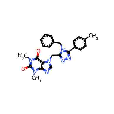 Cc1ccc(-c2nnc(Cn3cnc4c3c(=O)n(C)c(=O)n4C)n2Cc2ccccc2)cc1